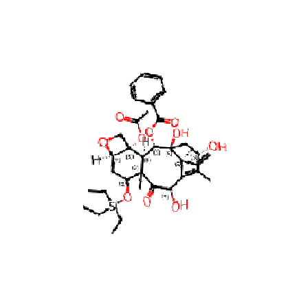 C=C[C@@]1(C)C2=C(C)[C@@H](O)C[C@@]1(O)[C@@H](OC(=O)c1ccccc1)[C@@H]1[C@]3(OC(C)=O)CO[C@@H]3C[C@H](O[Si](CC)(CC)CC)[C@@]1(C)C(=O)[C@@H]2O